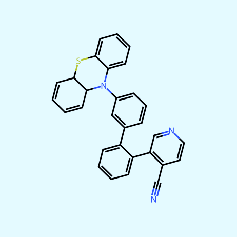 N#Cc1ccncc1-c1ccccc1-c1cccc(N2c3ccccc3SC3C=CC=CC32)c1